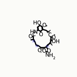 COC1=C2C[C@@H](C)C[C@H](OC)[C@H](O)[C@@H](C)/C=C(\C)[C@H](OC(N)=O)[C@@H](OC)/C=C/C=C(\C)C(=O)CNC(=CC1O)C2=O